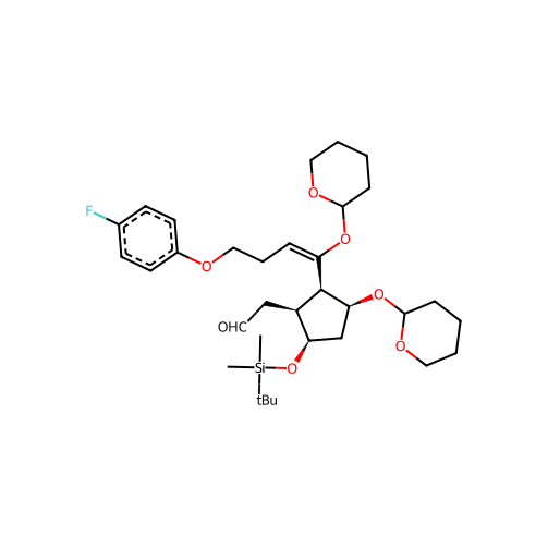 CC(C)(C)[Si](C)(C)O[C@@H]1C[C@H](OC2CCCCO2)[C@H](/C(=C\CCOc2ccc(F)cc2)OC2CCCCO2)[C@@H]1CC=O